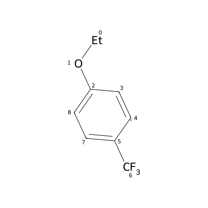 CCOc1c[c]c(C(F)(F)F)cc1